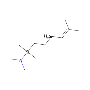 CC(C)=C[SiH2]CC[Si](C)(C)N(C)C